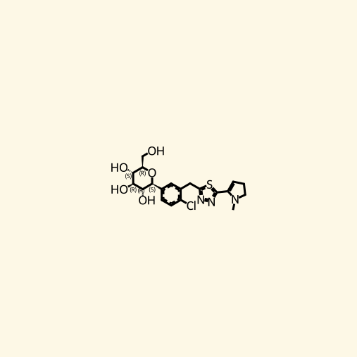 CN1CCC=C1c1nnc(Cc2cc([C@@H]3O[C@H](CO)[C@@H](O)[C@H](O)[C@H]3O)ccc2Cl)s1